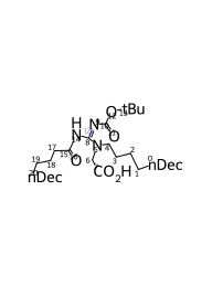 CCCCCCCCCCCCCCN(CC(=O)O)/C(=N\C(=O)OC(C)(C)C)NC(=O)CCCCCCCCCCCCC